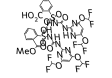 COC(=O)c1ccccc1S(=O)(=O)NC(=O)Nc1nc(OC(F)F)cc(OC(F)F)n1.O=C(Nc1nc(OC(F)F)cc(OC(F)F)n1)NS(=O)(=O)c1ccccc1C(=O)O